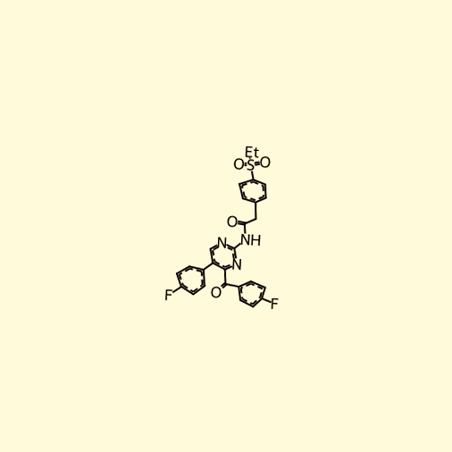 CCS(=O)(=O)c1ccc(CC(=O)Nc2ncc(-c3ccc(F)cc3)c(C(=O)c3ccc(F)cc3)n2)cc1